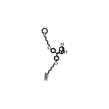 [N-]=[N+]=NCCCCCCOc1ccc(C(=C2C3C[C@H]4CC2C[C@@H](C3)C4)c2ccc(OCCCCCCN3CCCCCC3)cc2)cc1